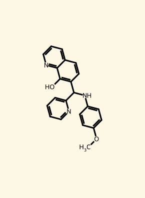 COc1ccc(NC(c2ccccn2)c2ccc3cccnc3c2O)cc1